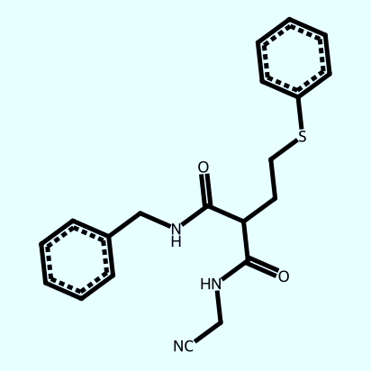 N#CCNC(=O)C(CCSc1ccccc1)C(=O)NCc1ccccc1